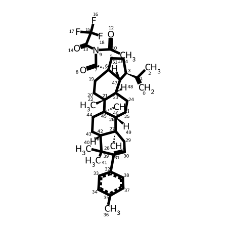 C=C(C)[C@@H]1CC[C@]2(C(=O)N(C(C)=O)C(=O)C(F)(F)F)CC[C@]3(C)[C@H](CC[C@@H]4[C@@]5(C)CC=C(c6ccc(C)cc6)C(C)(C)[C@@H]5CC[C@]43C)[C@@H]12